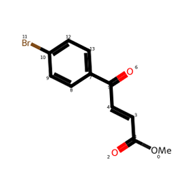 COC(=O)C=CC(=O)c1ccc(Br)cc1